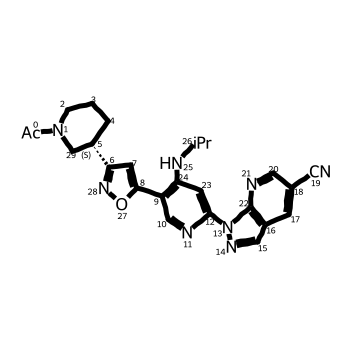 CC(=O)N1CCC[C@H](c2cc(-c3cnc(-n4ncc5cc(C#N)cnc54)cc3NC(C)C)on2)C1